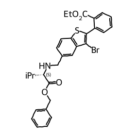 CCOC(=O)c1ccccc1-c1sc2ccc(CN[C@H](C(=O)OCc3ccccc3)C(C)C)cc2c1Br